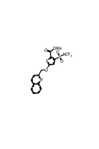 COC(=O)c1sc(OCc2ccc3ccccc3n2)cc1S(=O)(=O)NC(F)(F)F